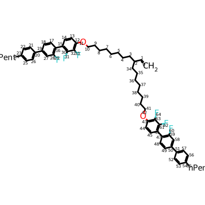 C=CC(CCCCCCCCOc1ccc(-c2ccc(-c3ccc(CCCCC)cc3)cc2F)c(F)c1F)CCCCCCCCOc1ccc(-c2ccc(-c3ccc(CCCCC)cc3)cc2F)c(F)c1F